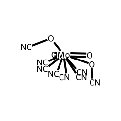 N#C[O][Mo](=[O])(=[O])([C]#N)([C]#N)([C]#N)([C]#N)([C]#N)([C]#N)[O]C#N